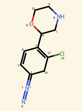 [N-]=[N+]=C1C=CC(C2CNCCO2)=C(Cl)C1